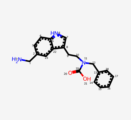 NCc1ccc2[nH]cc(CCN(Cc3ccccc3)C(=O)O)c2c1